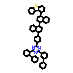 c1ccc(-c2cccc(-c3nc(-c4ccc(-c5ccc(-c6ccc(-c7cccc8sc9ccccc9c78)c7ccccc67)c6ccccc56)cc4)nc(-c4ccccc4-c4ccccc4)n3)c2)cc1